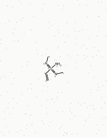 C=CS(N)(=NC)=NC